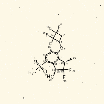 CS(=O)(=O)c1ccc(OC2CC(F)(F)C2(F)F)c2c1[C@H](O)C(F)(F)[C@@H]2F